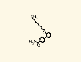 CCCCCCCCCOc1ccccc1-c1ccc(C(N)=O)cc1